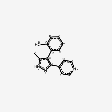 Cc1[nH]nc(-c2ccncc2)c1-c1ccccc1O